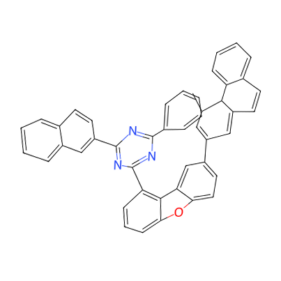 CC1C=C(c2ccc3oc4cccc(-c5nc(-c6ccccc6)nc(-c6ccc7ccccc7c6)n5)c4c3c2)C=C2C=Cc3ccccc3C21